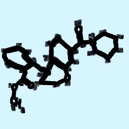 COC(=O)c1ccccc1N1CCOc2cc(C(=O)N3CCCCC3)ccc21